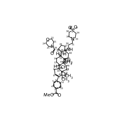 COC(=O)c1ccc(C2=CC[C@]3(C)[C@H]4CC[C@@H]5[C@H]6[C@H](C(=O)N7CCOCC7)CC[C@]6(NCCN6CCS(=O)(=O)CC6)CC[C@@]5(C)[C@]4(C)CC[C@H]3C2(C)C)cc1